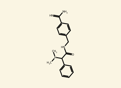 CN(C)C(C(=O)NCc1ccc(C(=N)N)cc1)c1ccccc1